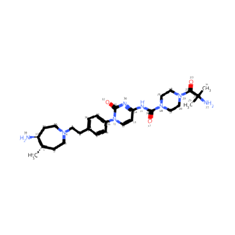 C[C@H]1CCN(CCc2ccc(-n3ccc(NC(=O)N4CCN(C(=O)C(C)(C)N)CC4)nc3=O)cc2)CC[C@@H]1N